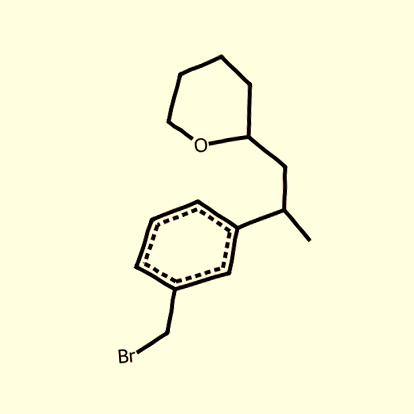 CC(CC1CCCCO1)c1cccc(CBr)c1